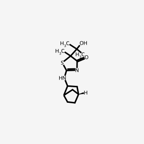 CC(C)(O)C1(C)SC(NC2C[C@@H]3CCC2C3)=NC1=O